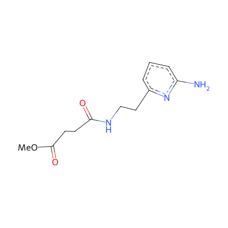 COC(=O)CCC(=O)NCCc1cccc(N)n1